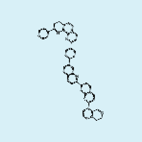 C1=NCCc2cccc(-c3ccc4ccc(-c5ccc6ccc(-c7ccc(-c8ccc9ccc%10c(c9n8)N=C(c8ccccc8)CC%10)cc7)cc6n5)cc4n3)c21